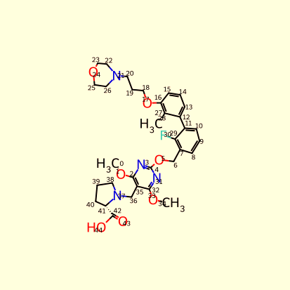 COc1nc(OCc2cccc(-c3cccc(OCCCN4CCOCC4)c3C)c2F)nc(OC)c1CN1CCC[C@H]1C(=O)O